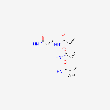 C=CC([NH-])=O.C=CC([NH-])=O.C=CC([NH-])=O.C=CC([NH-])=O.[Zr+4]